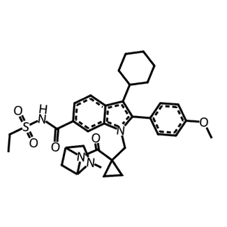 CCS(=O)(=O)NC(=O)c1ccc2c(C3CCCCC3)c(-c3ccc(OC)cc3)n(CC3(C(=O)N4C5CC4N(C)C5)CC3)c2c1